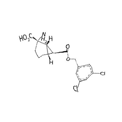 N[C@@]1(C(=O)O)CC[C@H]2[C@H](C(=O)OCc3cc(Cl)cc(Cl)c3)[C@H]21